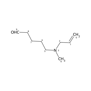 C=CCN(C)CCCCC=O